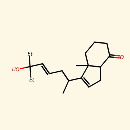 CCC(O)(/C=C/CC(C)C1=CCC2C(=O)CCCC12C)CC